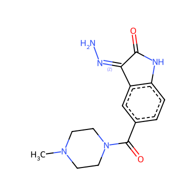 CN1CCN(C(=O)c2ccc3c(c2)/C(=N/N)C(=O)N3)CC1